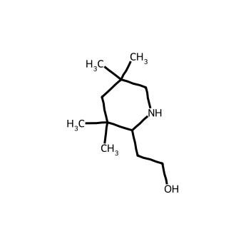 CC1(C)CNC(CCO)C(C)(C)C1